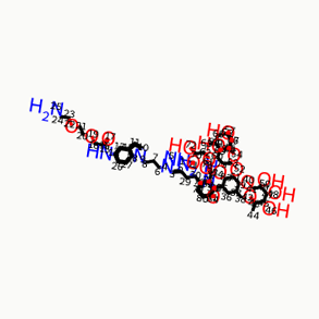 C=N/C(=C\N(N)CCCn1ccc2cc(NC(=O)COCCOCCN)ccc21)CCCNC(=O)C1CC(C)C(O[C@@H]2OC(C)[C@@H](O)C(O)C2O)[C@H](O[C@@H]2OC(CO)[C@H](O)C(O[C@@H](CC3CCCCC3)C(=O)O)C2OC(=O)c2ccccc2)C1